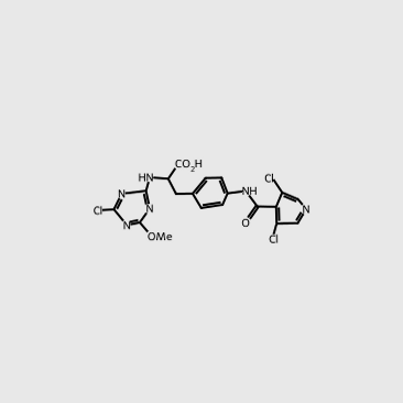 COc1nc(Cl)nc(NC(Cc2ccc(NC(=O)c3c(Cl)cncc3Cl)cc2)C(=O)O)n1